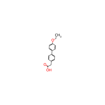 CCOc1ccc(-c2ccc(CC(=O)O)cc2)cc1